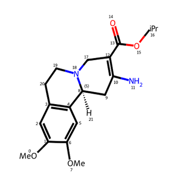 COc1cc2c(cc1OC)[C@@H]1CC(N)=C(C(=O)OC(C)C)CN1CC2